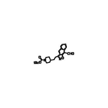 CC(C)(C)OC(=O)N1CCC(CCc2noc3c(C=O)c4ccccc4cc23)CC1